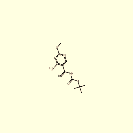 CSc1ncc(C(=N)NC(=O)OC(C)(C)C)c(N)n1